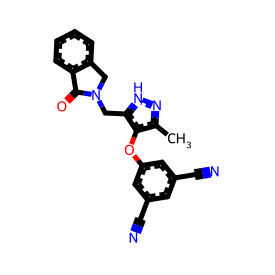 Cc1n[nH]c(CN2Cc3ccccc3C2=O)c1Oc1cc(C#N)cc(C#N)c1